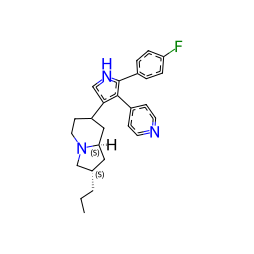 CCC[C@H]1C[C@@H]2CC(c3c[nH]c(-c4ccc(F)cc4)c3-c3ccncc3)CCN2C1